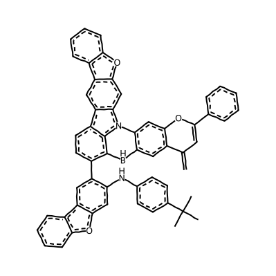 C=C1C=C(c2ccccc2)Oc2cc3c(cc21)Bc1c(-c2cc4c(cc2Nc2ccc(C(C)(C)C)cc2)oc2ccccc24)ccc2c4cc5c(cc4n-3c12)oc1ccccc15